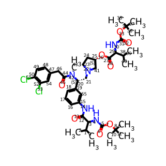 CC(C)C(NC(=O)OC(C)(C)C)C(=O)Nc1cccc([C@@H](CN2CC[C@H](OC(=O)C(NC(=O)OC(C)(C)C)C(C)C)C2)N(C)C(=O)Cc2ccc(Cl)c(Cl)c2)c1